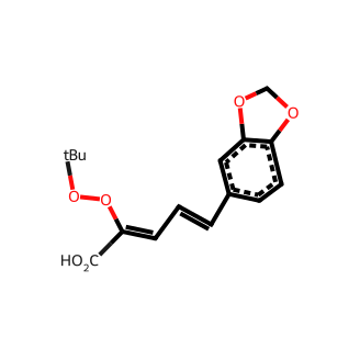 CC(C)(C)OOC(=CC=Cc1ccc2c(c1)OCO2)C(=O)O